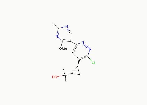 COc1nc(C)ncc1-c1cc([C@H]2C[C@@H]2C(C)(C)O)c(Cl)nn1